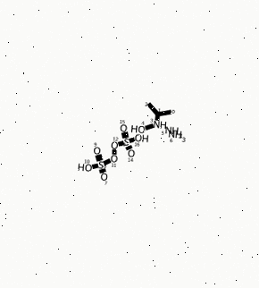 CC(C)NO.N.N.O=S(=O)(O)OOS(=O)(=O)O